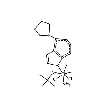 CC(C)(C)[NH][Ti]([CH3])([CH3])([SiH3])([Cl])([Cl])[CH]1C=Cc2c1cccc2N1CCCC1